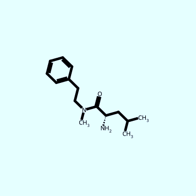 CC(C)C[C@H](N)C(=O)N(C)CCc1ccccc1